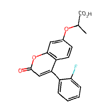 CC(Oc1ccc2c(-c3ccccc3F)cc(=O)oc2c1)C(=O)O